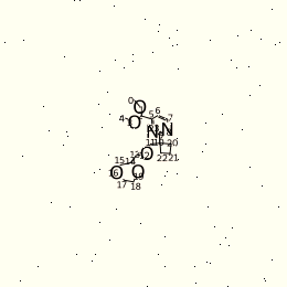 COC(OC)c1ccnc(C2(COCC3COCCO3)CCC2)n1